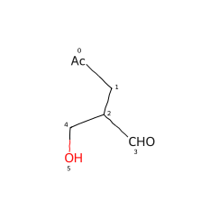 CC(=O)CC(C=O)CO